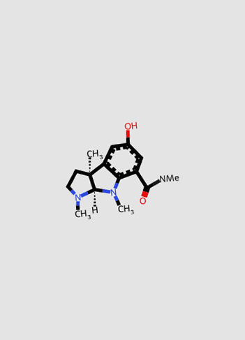 CNC(=O)c1cc(O)cc2c1N(C)[C@H]1N(C)CC[C@@]21C